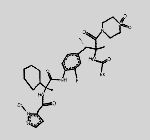 CCC(=O)NC(C)(C(=O)N1CCS(=O)(=O)CC1)[C@@H](C)c1ccc(NC(=O)[C@](C)(NC(=O)c2ccnn2CC)C2CCCCC2)c(F)c1